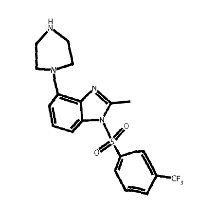 Cc1nc2c(N3CCNCC3)cccc2n1S(=O)(=O)c1cccc(C(F)(F)F)c1